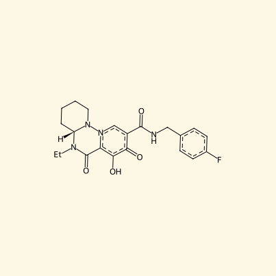 CCN1C(=O)c2c(O)c(=O)c(C(=O)NCc3ccc(F)cc3)cn2N2CCCC[C@@H]12